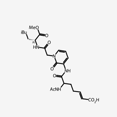 CCC(C)C[C@@H](NC(=O)Cn1cccc(NC(=O)C(CCC=CC(=O)O)NC(C)=O)c1=O)C(=O)OC